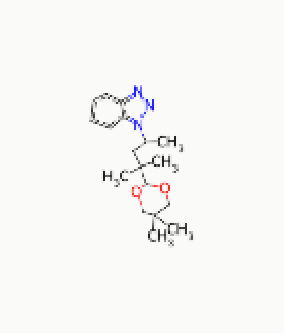 CC(CC(C)(C)C1OCC(C)(C)CO1)n1nnc2ccccc21